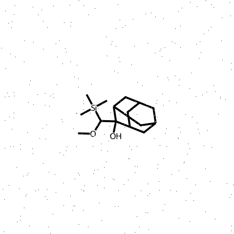 COC(C1(O)C2CC3CC(C2)CC1C3)[Si](C)(C)C